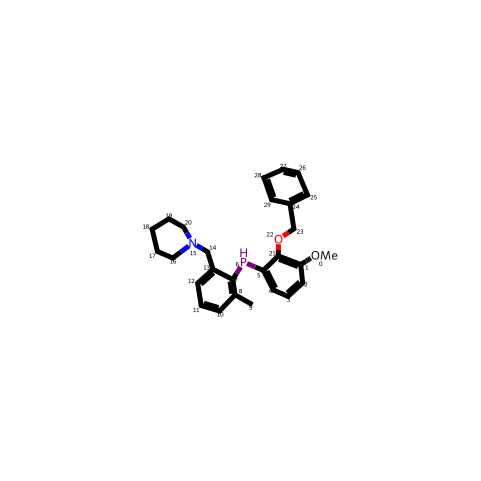 COc1cccc(Pc2c(C)cccc2CN2CCCCC2)c1OCc1ccccc1